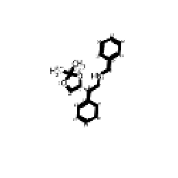 CC1(C)OC[C@@H](C(CNCc2ccccc2)C2=CC=CCC2)O1